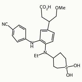 CCN(c1ccc(C(COC)CC(=O)O)cc1Nc1ccc(C#N)cc1)C1CCS(O)(O)CC1